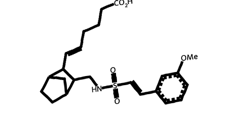 COc1cccc(/C=C/S(=O)(=O)NCC2C3CCC(C3)C2/C=C/CCCC(=O)O)c1